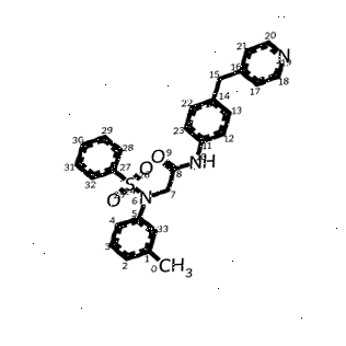 Cc1cccc(N(CC(=O)Nc2ccc(Cc3ccncc3)cc2)S(=O)(=O)c2ccccc2)c1